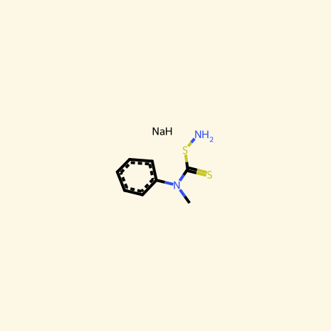 CN(C(=S)SN)c1ccccc1.[NaH]